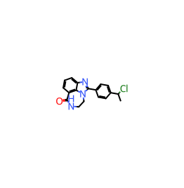 CC(Cl)c1ccc(-c2nc3cccc4c3n2CCNC4=O)cc1